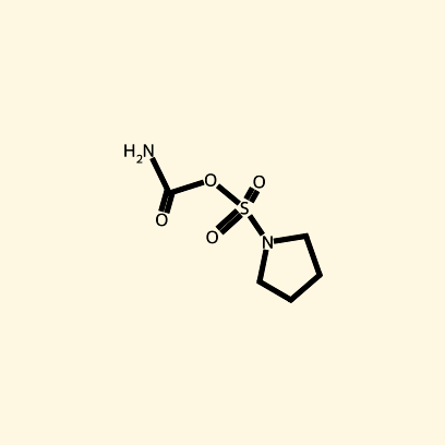 NC(=O)OS(=O)(=O)N1CCCC1